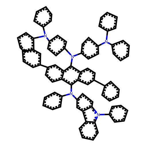 c1ccc(-c2ccc3c(N(c4ccccc4)c4ccc5c(c4)c4ccccc4n5-c4ccccc4)c4cc(-c5ccccc5)ccc4c(N(c4ccc(N(c5ccccc5)c5ccccc5)cc4)c4ccc(N(c5ccccc5)c5ccccc5)cc4)c3c2)cc1